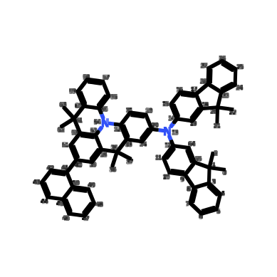 CC1(C)c2ccccc2-c2ccc(N(c3ccc4c(c3)C(C)(C)c3ccccc3-4)c3ccc4c(c3)C(C)(C)c3cc(-c5cccc6ccccc56)cc5c3N4c3ccccc3C5(C)C)cc21